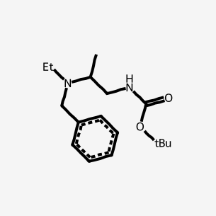 CCN(Cc1ccccc1)C(C)CNC(=O)OC(C)(C)C